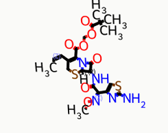 C/C=C\C1=C(C(=O)OCOC(=O)C(C)(C)C)N2C(=O)[C@@H](NC(=O)/C(=N\OC)c3csc(N)n3)[C@@H]2SC1